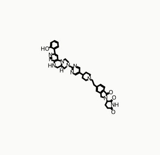 O=C1CCC(N2Cc3cc(CCN4CCC(c5cnc(N6CCN7c8cc(-c9ccccc9O)nnc8NC[C@@H]7C6)nc5)CC4)ccc3C2=O)C(=O)N1